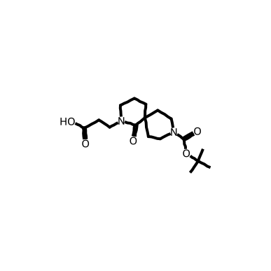 CC(C)(C)OC(=O)N1CCC2(CCCN(CCC(=O)O)C2=O)CC1